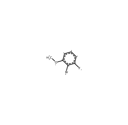 [CH2]Oc1cccc(F)c1Br